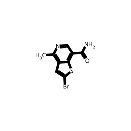 Cc1ncc(C(N)=O)c2sc(Br)cc12